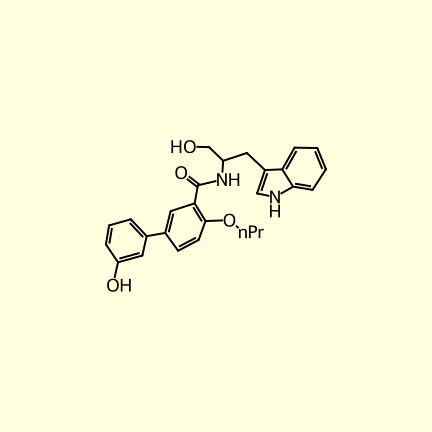 CCCOc1ccc(-c2cccc(O)c2)cc1C(=O)NC(CO)Cc1c[nH]c2ccccc12